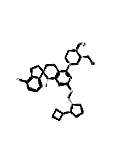 N#CC[C@H]1CN(c2nc(OC[C@@H]3CCCN3C3CCC3)nc3c2CC[C@@]2(CCc4c(Cl)cccc42)[C@H]3F)CCN1C(=O)O